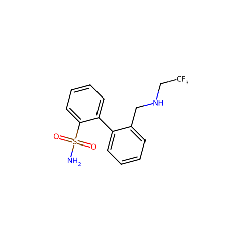 NS(=O)(=O)c1ccccc1-c1ccccc1CNCC(F)(F)F